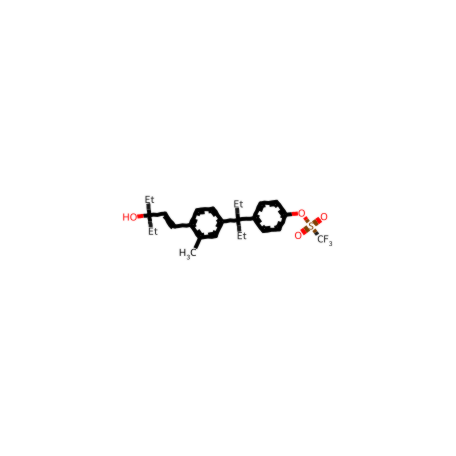 CCC(O)(/C=C/c1ccc(C(CC)(CC)c2ccc(OS(=O)(=O)C(F)(F)F)cc2)cc1C)CC